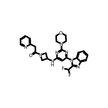 O=C(Cc1ccccn1)N1CC(Nc2cc(-n3c(C(F)F)nc4ccccc43)nc(N3CCOCC3)n2)C1